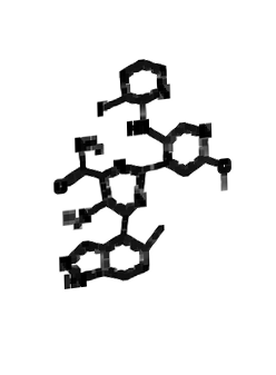 COc1cc(-c2nc(C(N)=O)c(N)c(-c3c(C)ccc4[nH]ncc34)n2)c(Nc2ncccc2F)cn1